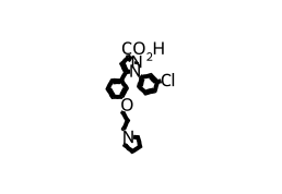 O=C(O)c1cc(-c2cccc(OCCCN3CCCC3)c2)n(-c2cccc(Cl)c2)n1